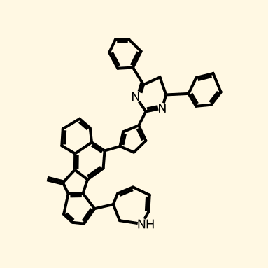 C=C1c2cccc(C3C=CC=CNC3)c2-c2cc(C3=CC(C4=NC(c5ccccc5)CC(c5ccccc5)=N4)=CC3)c3ccccc3c21